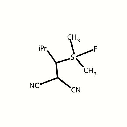 CC(C)C(C(C#N)C#N)[Si](C)(C)F